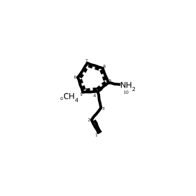 C.C=CCc1ccccc1N